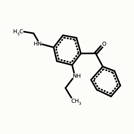 CCNc1ccc(C(=O)c2ccccc2)c(NCC)c1